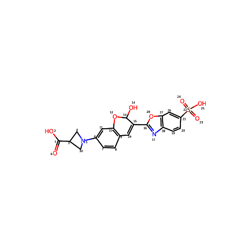 O=C(O)C1CN(c2ccc3c(c2)OC(O)C(c2nc4ccc(S(=O)(=O)O)cc4o2)=C3)C1